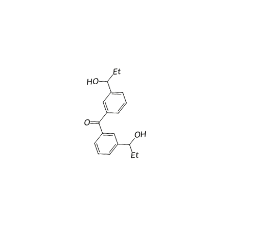 CCC(O)c1cccc(C(=O)c2cccc(C(O)CC)c2)c1